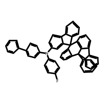 Fc1ccc(N(c2ccc(-c3ccccc3)cc2)c2ccc3c(c2)C2(c4ccccc4-3)c3ccccc3C3(c4ccccc4)c4ccccc4-c4cccc2c43)cc1